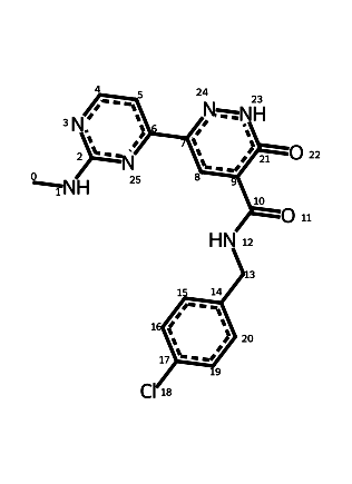 CNc1nccc(-c2cc(C(=O)NCc3ccc(Cl)cc3)c(=O)[nH]n2)n1